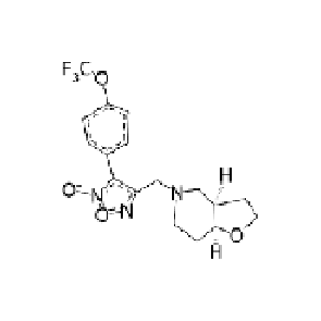 [O-][n+]1onc(CN2CC[C@@H]3OCC[C@@H]3C2)c1-c1ccc(OC(F)(F)F)cc1